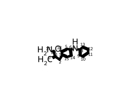 C=C(Cc1ccc(Nc2ccccc2)cc1)C(N)=O